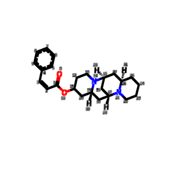 O=C(/C=C\c1ccccc1)OC1CCN2[C@@H]3C[C@@H](C[C@@H]2C1)N1CCCC[C@@H]1C3